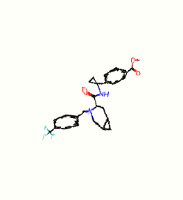 COC(=O)c1ccc(C2(NC(=O)C3CC4CC4CN3Cc3ccc(C(F)(F)F)cc3)CC2)cc1